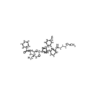 COCCCNc1nccc(-c2[nH]c(C3OCC(C)(CNC(=O)c4ccccc4)CO3)nc2-c2ccc(F)cc2)n1